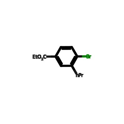 CCCc1cc(C(=O)OCC)ccc1Br